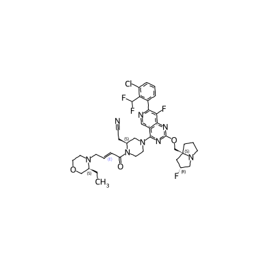 CC[C@H]1COCCN1C/C=C/C(=O)N1CCN(c2nc(OC[C@@]34CCCN3C[C@H](F)C4)nc3c(F)c(-c4cccc(Cl)c4C(F)F)ncc23)C[C@@H]1CC#N